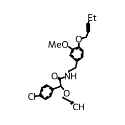 C#CCOC(C(=O)NCCc1ccc(OCC#CCC)c(OC)c1)c1ccc(Cl)cc1